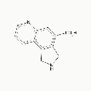 O=C(O)c1cc2ncccc2c2c1CNC2